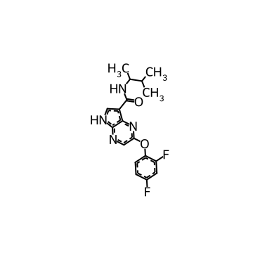 CC(C)C(C)NC(=O)c1c[nH]c2ncc(Oc3ccc(F)cc3F)nc12